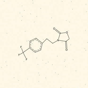 O=C1COC(=O)N1CCc1ccc(C(F)(F)F)cc1